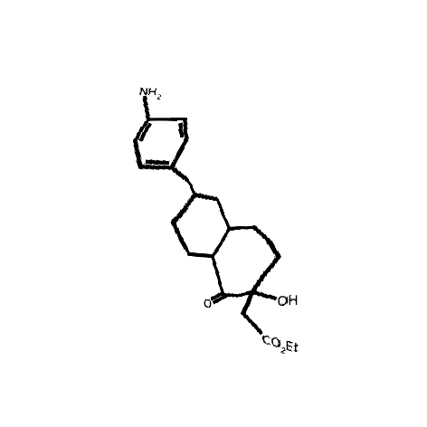 CCOC(=O)CC1(O)CCC2CC(c3ccc(N)cc3)CCC2C1=O